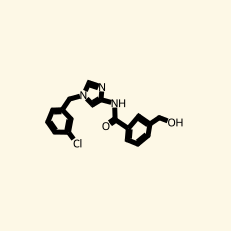 O=C(Nc1cn(Cc2cccc(Cl)c2)cn1)c1cccc(CO)c1